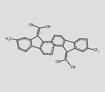 [C-]#[N+]/C(C#N)=C1/c2cc(C(F)(F)F)ccc2-c2ccc3c4c(ccc3c21)-c1ccc(C)cc1/C4=C(/C#N)[N+]#[C-]